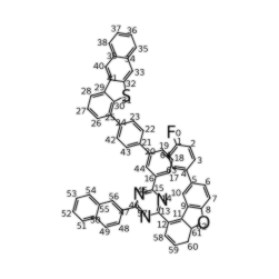 Fc1ccc(-c2ccc3c(c2)C2=C(c4nc(-c5cccc(-c6ccc(-c7cccc8c7sc7cc9ccccc9cc78)cc6)c5)nc(-c5ccc6ccccc6c5)n4)C=CCC2O3)cc1